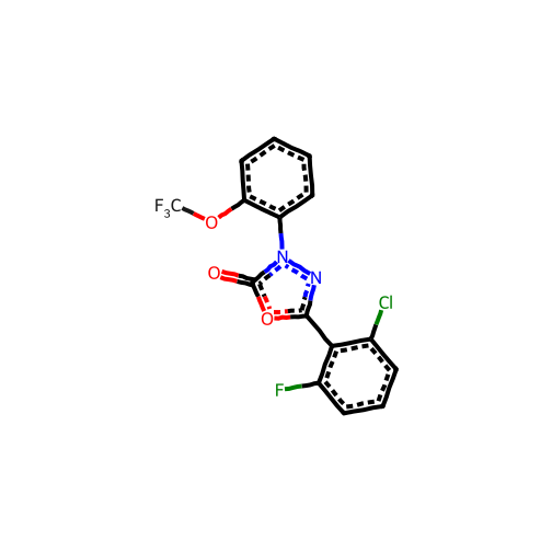 O=c1oc(-c2c(F)cccc2Cl)nn1-c1ccccc1OC(F)(F)F